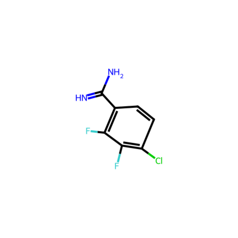 N=C(N)c1ccc(Cl)c(F)c1F